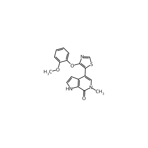 COc1ccccc1Oc1ncsc1-c1cn(C)c(=O)c2[nH]ccc12